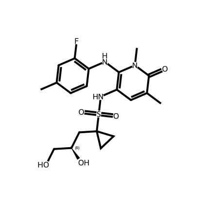 Cc1ccc(Nc2c(NS(=O)(=O)C3(C[C@@H](O)CO)CC3)cc(C)c(=O)n2C)c(F)c1